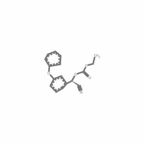 CCOC(=O)O[C@@H](C#N)c1cccc(Oc2ccccc2)c1